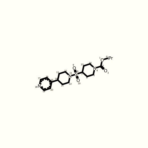 CC(C)OC(=O)N1CCC(S(=O)(=O)N2CCC(c3ccncc3)CC2)CC1